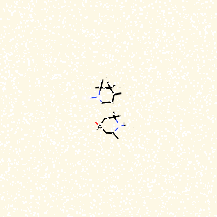 CC1CC(C)(O)CC(C)(C)N1C.CC1CCN(N)C(C)(C)C1(C)C